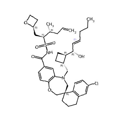 C=CC[C@@H](C)[C@H](C[C@@H]1CCO1)S(=O)(=O)NC(=O)c1ccc2c(c1)N(C[C@@H]1CC[C@H]1[C@@H](O)/C=C/CCC)C[C@@]1(CCCc3cc(Cl)ccc31)CO2